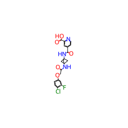 O=C(COc1ccc(Cl)c(F)c1)NC12CC(NC(=O)c3ccnc(C(=O)O)c3)(C1)C2